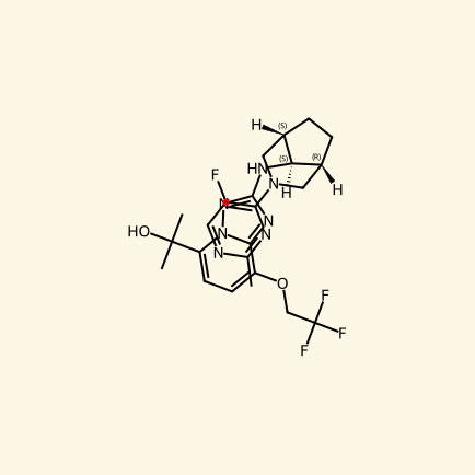 Cc1ncc(F)c(N2C[C@H]3CC[C@@H](C2)[C@@H]3Nc2nc3c(OCC(F)(F)F)ccc(C(C)(C)O)n3n2)n1